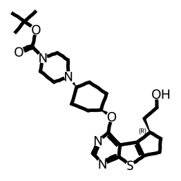 CC(C)(C)OC(=O)N1CCN([C@H]2CC[C@H](Oc3ncnc4sc5c(c34)[C@@H](CCO)CC5)CC2)CC1